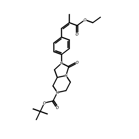 CCOC(=O)C(C)=Cc1ccc(N2CC3CN(C(=O)OC(C)(C)C)CCN3C2=O)cc1